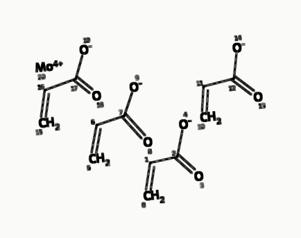 C=CC(=O)[O-].C=CC(=O)[O-].C=CC(=O)[O-].C=CC(=O)[O-].[Mo+4]